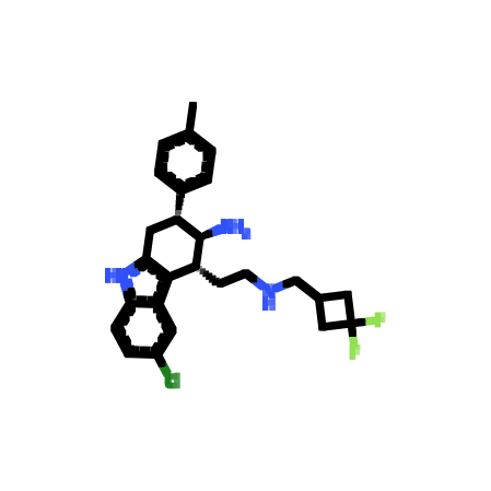 Cc1ccc([C@H]2Cc3[nH]c4ccc(Cl)cc4c3[C@@H](CCNCC3CC(F)(F)C3)[C@@H]2N)cc1